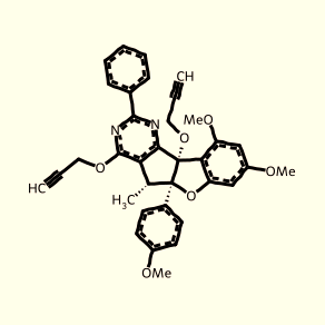 C#CCOc1nc(-c2ccccc2)nc2c1[C@@H](C)[C@]1(c3ccc(OC)cc3)Oc3cc(OC)cc(OC)c3[C@]21OCC#C